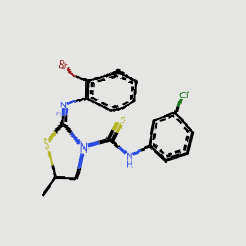 CC1CN(C(=S)Nc2cccc(Cl)c2)/C(=N\c2ccccc2Br)S1